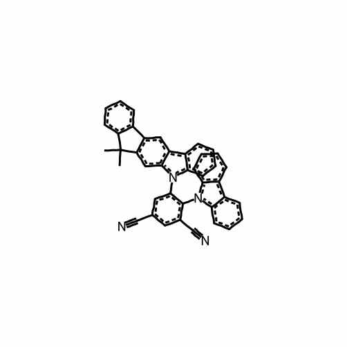 CC1(C)c2ccccc2-c2cc3c4ccccc4n(-c4cc(C#N)cc(C#N)c4-n4c5ccccc5c5ccccc54)c3cc21